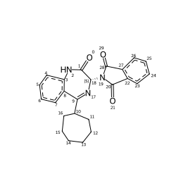 O=C1Nc2ccccc2C(C2CCCCCC2)=N[C@H]1N1C(=O)c2ccccc2C1=O